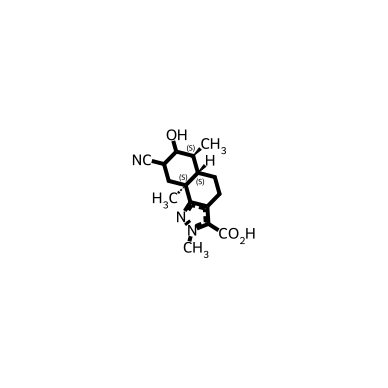 C[C@@H]1C(O)C(C#N)C[C@]2(C)c3nn(C)c(C(=O)O)c3CC[C@@H]12